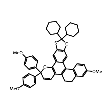 COc1ccc(C2(c3ccc(OC)cc3)C=Cc3c4c(c5cc6c(cc5c3O2)SC(C2CCCCC2)(C2CCCCC2)O6)-c2ccc(OC)cc2CC4)cc1